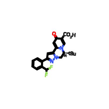 CC(C)(C)[C@@H]1Cn2nc(-c3ccccc3C(F)F)cc2-c2cc(=O)c(C(=O)O)cn21